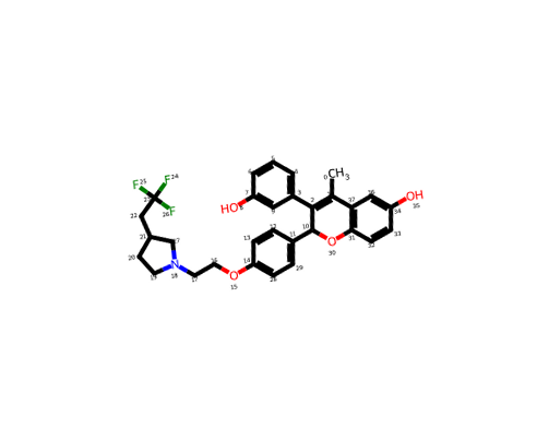 CC1=C(c2cccc(O)c2)C(c2ccc(OCCN3CCC(CC(F)(F)F)C3)cc2)Oc2ccc(O)cc21